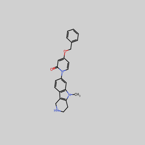 Cn1c2c(c3ccc(-n4ccc(OCc5ccccc5)cc4=O)cc31)CNCC2